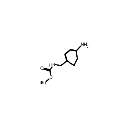 CC(C)(C)OC(=O)NCC1CCC(N)CC1